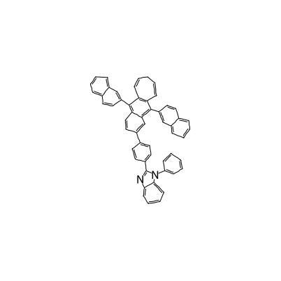 C1=Cc2c(c(-c3ccc4ccccc4c3)c3cc(-c4ccc(-c5nc6ccccc6n5-c5ccccc5)cc4)ccc3c2-c2ccc3ccccc3c2)C=CC1